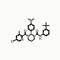 Cc1cc(Cl)cnc1C(=O)N1CCC[C@H](C(=O)Nc2cccc(C(C)(C)C)c2)[C@@H]1c1ccc(N(C)C)cc1